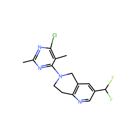 Cc1nc(Cl)c(C)c(N2CCc3ncc(C(F)F)cc3C2)n1